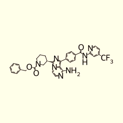 Nc1nccn2c([C@@H]3CCCN(C(=O)OCc4ccccc4)C3)nc(-c3ccc(C(=O)Nc4cc(C(F)(F)F)ccn4)cc3)c12